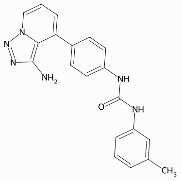 Cc1cccc(NC(=O)Nc2ccc(-c3cccn4nnc(N)c34)cc2)c1